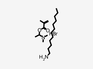 Br.C=C(C)C(=O)OC(C)N(C)C.CCCCCCCCCCCCN